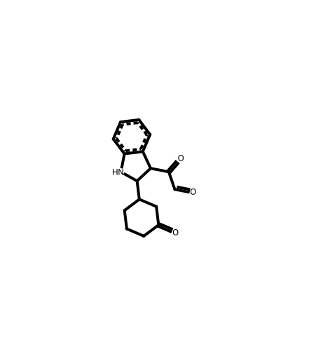 O=CC(=O)C1c2ccccc2NC1C1CCCC(=O)C1